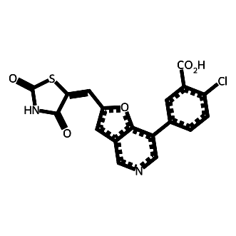 O=C1NC(=O)/C(=C\c2cc3cncc(-c4ccc(Cl)c(C(=O)O)c4)c3o2)S1